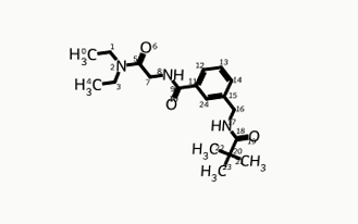 CCN(CC)C(=O)CNC(=O)c1cccc(CNC(=O)C(C)(C)C)c1